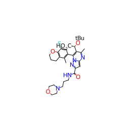 Cc1nc2cc(C(=O)NCCCN3CCOCC3)nn2c(-c2cc(F)c3c(c2C)CCCO3)c1[C@H](OC(C)(C)C)C(=O)O